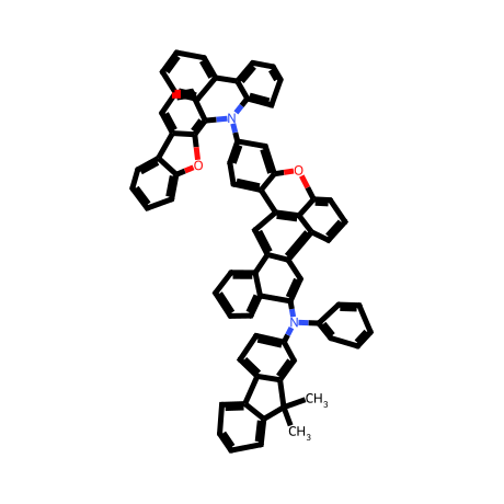 CC1(C)c2ccccc2-c2ccc(N(c3ccccc3)c3cc4c5cccc6c5c(cc4c4ccccc34)-c3ccc(N(c4ccccc4-c4ccccc4)c4cccc5c4oc4ccccc45)cc3O6)cc21